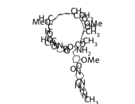 CO[C@H]1C[C@@H]2CC[C@@H](C)[C@](O)(CC(=O)N3CCCC[C@H]3C(=O)O[C@H]([C@H](N)C[C@@H]3CC[C@@H](OC(=O)N4CCc5nc(N6CCN(C)CC6)ncc5C4)[C@H](OC)C3)CC(=O)[C@H](C)/C=C(\C)[C@@H](O)[C@@H](OC)C(=O)[C@H](C)C[C@H](C)/C=C/C=C/C=C/1C)O2